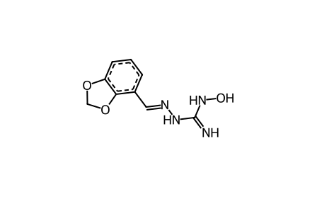 N=C(NO)NN=Cc1cccc2c1OCO2